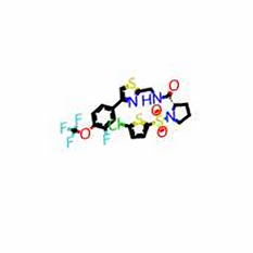 O=C(NCc1nc(-c2ccc(OC(F)(F)F)c(F)c2)cs1)[C@@H]1CCCN1S(=O)(=O)c1ccc(Cl)s1